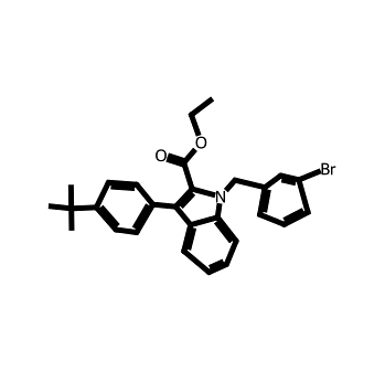 CCOC(=O)c1c(-c2ccc(C(C)(C)C)cc2)c2ccccc2n1Cc1cccc(Br)c1